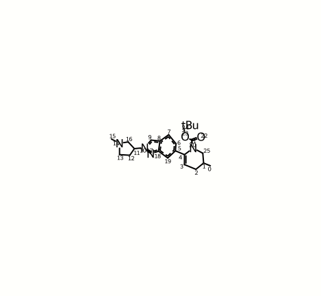 CC1CC=C(c2ccc3cn(C4CCN(C)C4)nc3c2)N(C(=O)OC(C)(C)C)C1